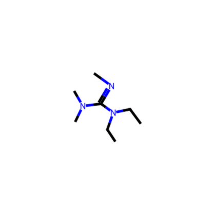 CCN(CC)/C(=N/C)N(C)C